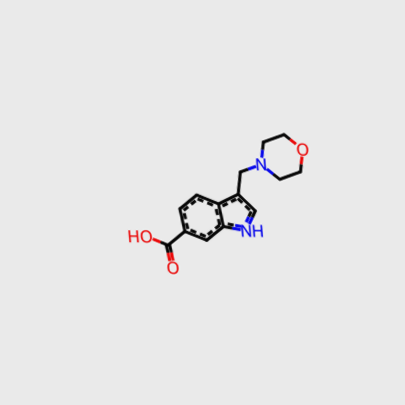 O=C(O)c1ccc2c(CN3CCOCC3)c[nH]c2c1